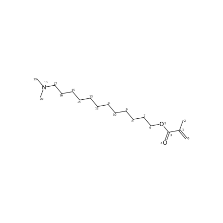 C=C(C)C(=O)OCCCCCCCCCCCCN(C)C